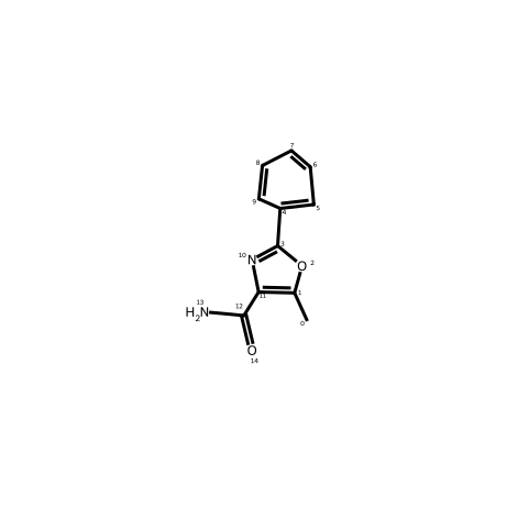 Cc1oc(-c2ccccc2)nc1C(N)=O